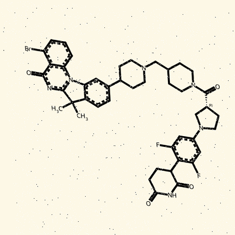 CC1(C)c2ccc(C3CCN(CC4CCN(C(=O)[C@@H]5CCN(c6cc(F)c(C7CCC(=O)NC7=O)c(F)c6)C5)CC4)CC3)cc2-n2c1nc(=O)c1c(Br)cccc12